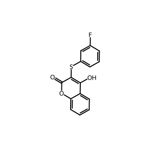 O=c1oc2ccccc2c(O)c1Sc1cccc(F)c1